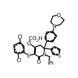 CC(C)CN1C(=O)C(Sc2cc(Cl)ccc2Cl)=C(OC(=O)O)CC1(c1ccc(N2CCOCC2)cc1)c1ccsc1